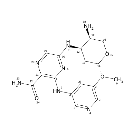 COc1cncc(Nc2nc(N[C@@H]3CCOC[C@@H]3N)cnc2C(N)=O)c1